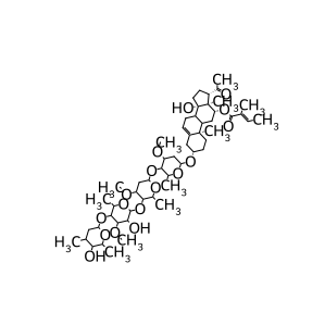 C/C=C(\C)C(=O)O[C@@H]1CC2C(CC=C3C[C@@H](OC4CC(OC)C(OC5CC(OC)C(OC6OC(C)C(OC7CC(C)C(O)C(C)O7)C(OC)C6O)C(C)O5)C(C)O4)CC[C@@]32C)[C@@]2(O)CC[C@H](C(C)=O)[C@@]12C